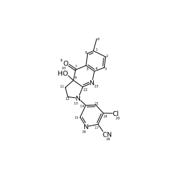 Cc1ccc2c(c1)C(=O)C1(O)CCN(c3cnc(C#N)c(Cl)c3)C1=N2